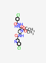 CC(C)(C)OC(=O)N1C[C@@H](NC(=O)c2cnc3cc(Cl)ccc3c2)CC[C@@H]1C(=O)NNC(=O)c1ccc(Cl)cc1